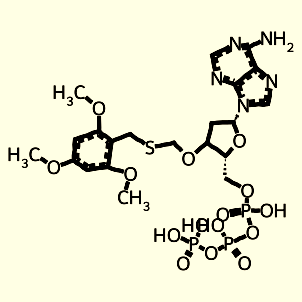 COc1cc(OC)c(CSCOC2C[C@H](n3cnc4c(N)ncnc43)O[C@@H]2COP(=O)(O)OP(=O)(O)OP(=O)(O)O)c(OC)c1